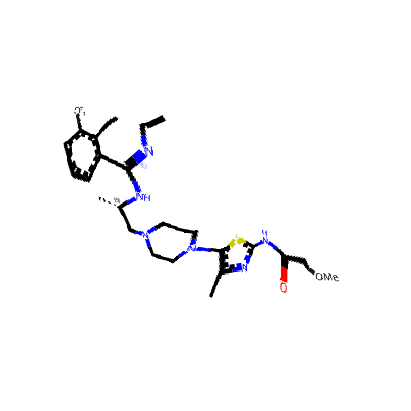 C=C/N=C(/N[C@@H](C)CN1CCN(c2sc(NC(=O)COC)nc2C)CC1)c1cccc(C(F)(F)F)c1C